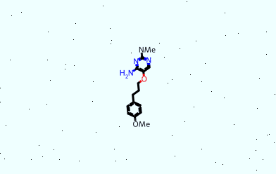 CNc1ncc(OCCCc2ccc(OC)cc2)c(N)n1